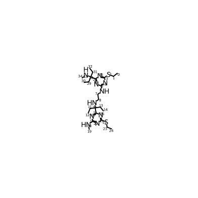 CCSc1nc(NCCNC(CC)(CC)c2nc(NC)nc(SCC)n2)nc(C(CC)(CC)NC)n1